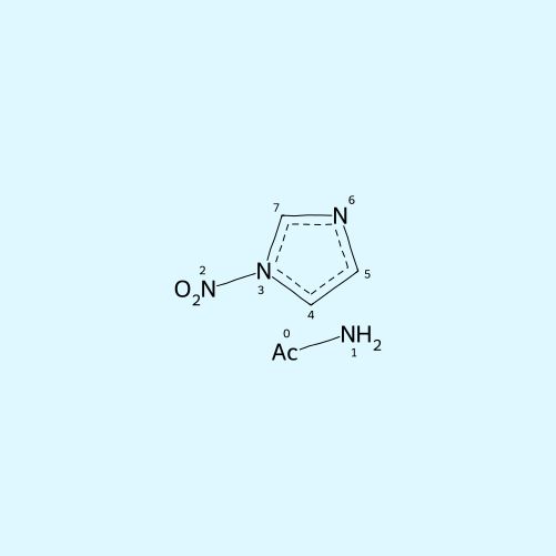 CC(N)=O.O=[N+]([O-])n1ccnc1